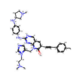 Cc1ccc(C#Cc2cc3cnc(Nc4ccc(NC5CCN(C)C5)cc4)nc3n(Cc3cncn3CCN(C)C)c2=O)cc1